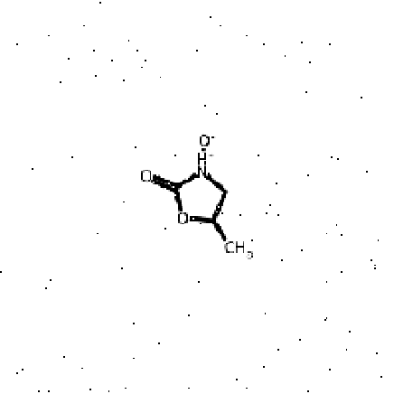 CC1C[NH+]([O-])C(=O)O1